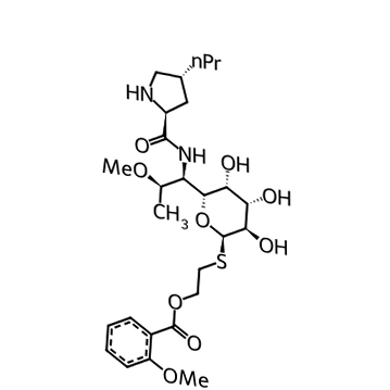 CCC[C@H]1CN[C@H](C(=O)N[C@@H]([C@H]2O[C@H](SCCOC(=O)c3ccccc3OC)[C@H](O)[C@@H](O)[C@H]2O)[C@@H](C)OC)C1